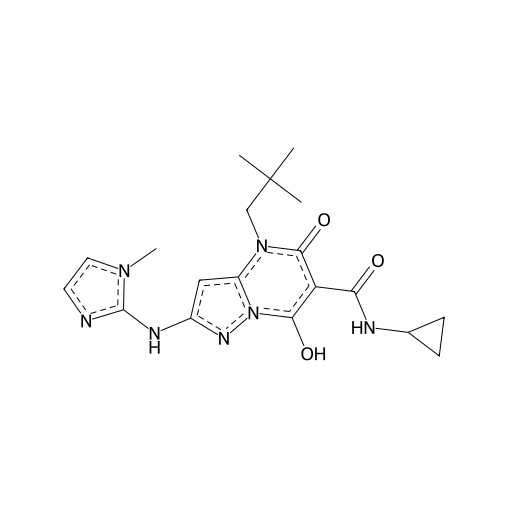 Cn1ccnc1Nc1cc2n(CC(C)(C)C)c(=O)c(C(=O)NC3CC3)c(O)n2n1